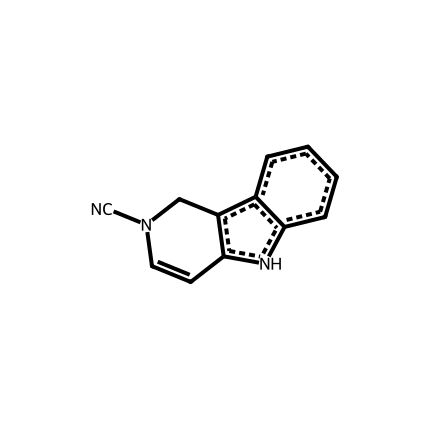 N#CN1C=Cc2[nH]c3ccccc3c2C1